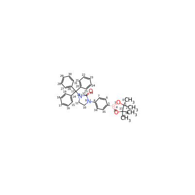 CC1(C)OB(c2ccc(N3CCN(C(c4ccccc4)(c4ccccc4)c4ccccc4)C3=O)cc2)OC1(C)C